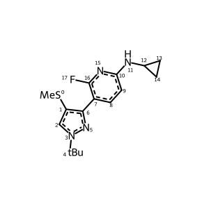 CSc1cn(C(C)(C)C)nc1-c1ccc(NC2CC2)nc1F